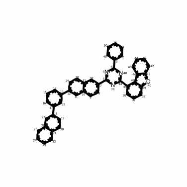 c1ccc(-c2nc(-c3ccc4cc(-c5cccc(-c6ccc7ccccc7c6)c5)ccc4c3)nc(-c3cccc4oc5ccccc5c34)n2)cc1